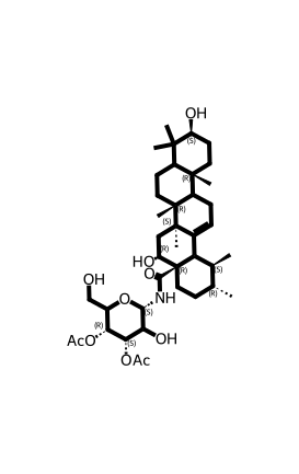 CC(=O)O[C@@H]1C(CO)O[C@H](NC(=O)[C@]23CC[C@@H](C)[C@H](C)C2C2=CCC4[C@@]5(C)CC[C@H](O)C(C)(C)C5CC[C@@]4(C)[C@]2(C)C[C@H]3O)C(O)[C@@H]1OC(C)=O